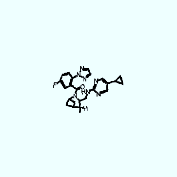 C[C@@H]1C2CC(C2)N(C(=O)c2cc(F)ccc2-n2nccn2)C1CNc1ncc(C2CC2)cn1